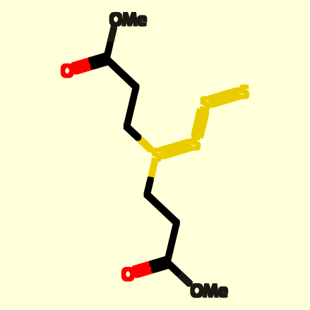 COC(=O)CCS(CCC(=O)OC)=S=S=S